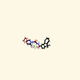 CC1(C)c2ccccc2-c2cc(C(=O)NCC(=O)N3CC4(CC3C(=O)O)OCCO4)ccc21